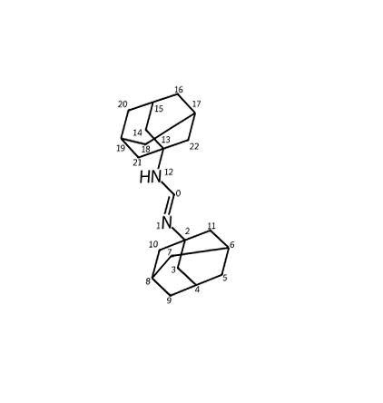 C(=N\C12CC3CC(CC(C3)C1)C2)/NC12CC3CC(CC(C3)C1)C2